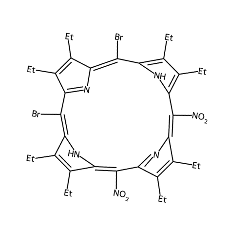 CCC1=C(CC)c2nc1c(Br)c1[nH]c(c(CC)c1CC)c([N+](=O)[O-])c1nc(c([N+](=O)[O-])c3[nH]c(c2Br)c(CC)c3CC)C(CC)=C1CC